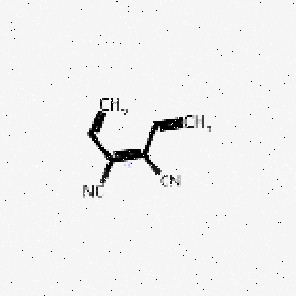 C=C/C(C#N)=C(/C#N)C=C